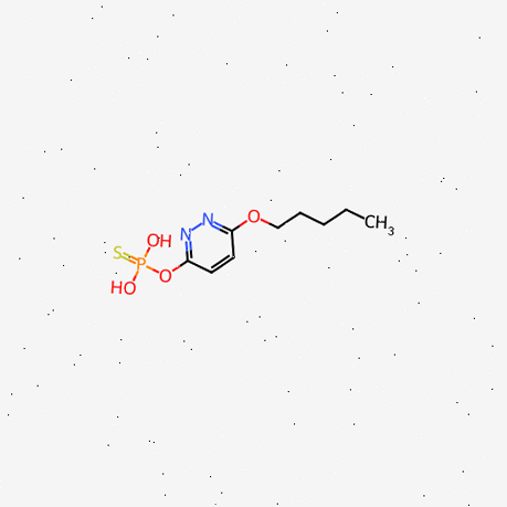 CCCCCOc1ccc(OP(O)(O)=S)nn1